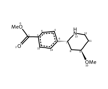 COC(=O)c1ccc([C@H]2C[C@H](OC)CCN2)cc1